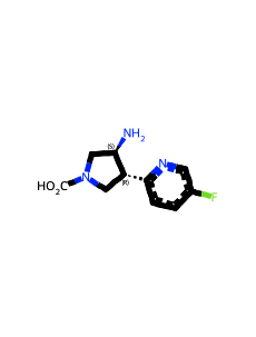 N[C@@H]1CN(C(=O)O)C[C@H]1c1ccc(F)cn1